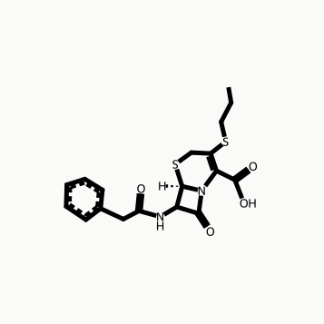 CCCSC1=C(C(=O)O)N2C(=O)C(NC(=O)Cc3ccccc3)[C@H]2SC1